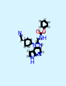 N#CC[C@H]1CC[C@@H](n2c(CNC(=O)Oc3ccccc3)nc3cnc4[nH]ccc4c32)CC1